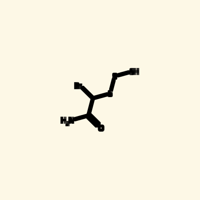 NC(=O)C(Br)SSS